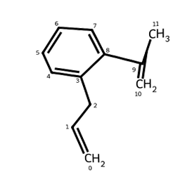 C=CCc1ccccc1C(=C)C